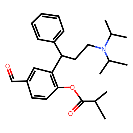 CC(C)C(=O)Oc1ccc(C=O)cc1C(CCN(C(C)C)C(C)C)c1ccccc1